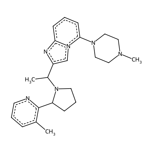 Cc1cccnc1C1CCCN1C(C)c1cn2c(N3CCN(C)CC3)cccc2n1